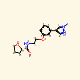 Cn1cc(-c2c[c]cc(OCCNC(=O)[C@@H]3CCCO3)c2)cn1